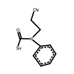 N#CCCN(C(=O)S)c1ccccc1